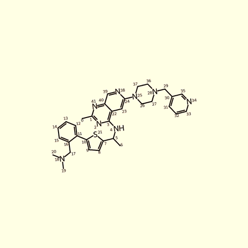 Cc1nc(NC(C)c2ccc(-c3ccccc3CN(C)C)s2)c2cc(N3CCN(Cc4cccnc4)CC3)ncc2n1